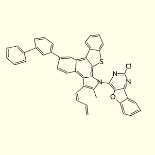 C=C/C=C\c1c(C)n(-c2nc(Cl)nc3c2oc2ccccc23)c2c3sc4ccccc4c3c3cc(-c4cccc(-c5ccccc5)c4)ccc3c12